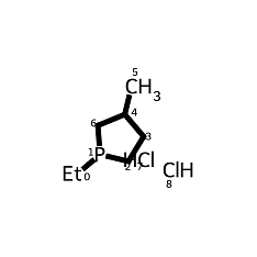 CCP1CCC(C)C1.Cl.Cl